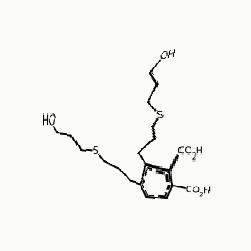 O=C(O)c1ccc(CCCSCCCO)c(CCCSCCCO)c1C(=O)O